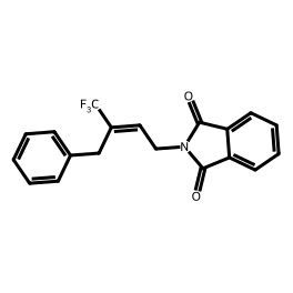 O=C1c2ccccc2C(=O)N1CC=C(Cc1ccccc1)C(F)(F)F